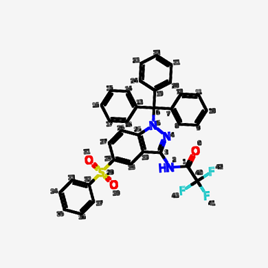 O=C(Nc1nn(C(c2ccccc2)(c2ccccc2)c2ccccc2)c2ccc(S(=O)(=O)c3ccccc3)cc12)C(F)(F)F